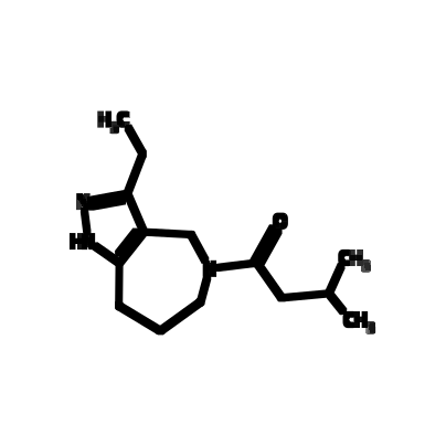 CCc1n[nH]c2c1CN(C(=O)CC(C)C)CCC2